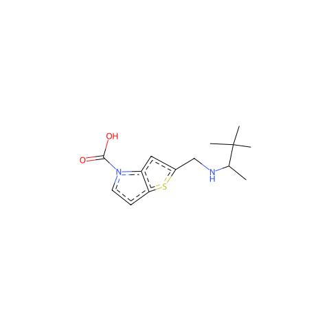 CC(NCc1cc2c(ccn2C(=O)O)s1)C(C)(C)C